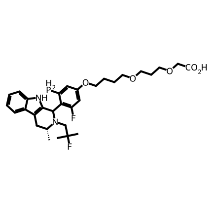 C[C@@H]1Cc2c([nH]c3ccccc23)C(c2c(F)cc(OCCCCOCCCOCC(=O)O)cc2P)N1CC(C)(C)F